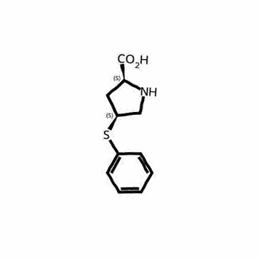 O=C(O)[C@@H]1C[C@H](Sc2ccccc2)CN1